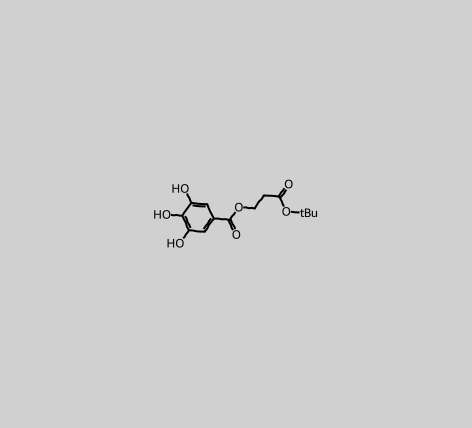 CC(C)(C)OC(=O)CCOC(=O)c1cc(O)c(O)c(O)c1